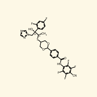 C[C@@H](SC1COC(c2ccc(C(=O)Nc3c(F)c(F)c(C#N)c(F)c3F)cc2)OC1)[C@](O)(Cn1cncn1)c1ccc(F)cc1F